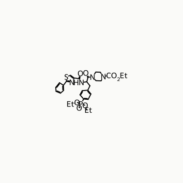 CCOC(=O)N1CCN(C(=O)C(Cc2ccc(P(=O)(OCC)OCC)cc2)NC(=O)c2csc(-c3ccccc3)n2)CC1